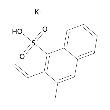 C=Cc1c(C)cc2ccccc2c1S(=O)(=O)O.[K]